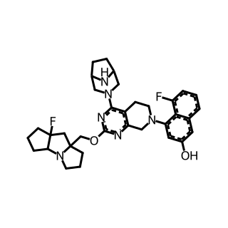 Oc1cc(N2CCc3c(nc(OCC45CCCN4C4CCCC4(F)C5)nc3N3CC4CCC(C3)N4)C2)c2c(F)cccc2c1